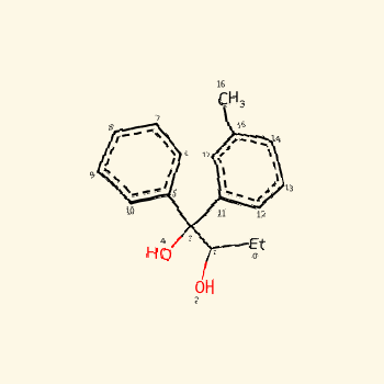 CCC(O)C(O)(c1ccccc1)c1cccc(C)c1